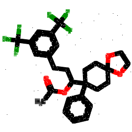 CC(=O)OC(CCc1cc(C(F)(F)F)cc(C(F)(F)F)c1)C1(c2ccccc2)CCC2(CC1)OCCO2